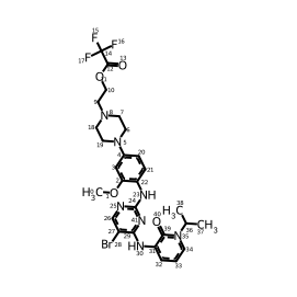 COc1cc(N2CCN(CCOC(=O)C(F)(F)F)CC2)ccc1Nc1ncc(Br)c(Nc2cccn(C(C)C)c2=O)n1